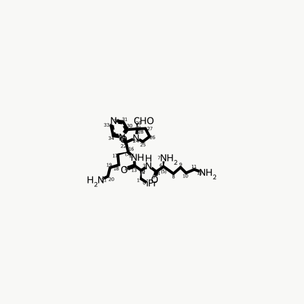 CC(C)C[C@H](NC(=O)[C@@H](N)CCCCN)C(=O)N[C@@H](CCCCN)C(=O)N1CCC[C@]1(C=O)c1cnccn1